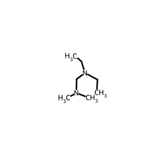 CCN(CC)CN(C)C